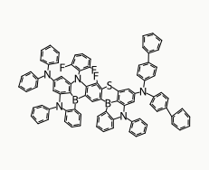 Fc1cccc(F)c1N1c2cc(N(c3ccccc3)c3ccccc3)cc3c2B(c2ccccc2N3c2ccccc2)c2cc3c(c(F)c21)Sc1cc(N(c2ccc(-c4ccccc4)cc2)c2ccc(-c4ccccc4)cc2)cc2c1B3c1ccccc1N2c1ccccc1